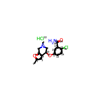 Cc1cc2c(o1)CN(C)CC2Oc1ccc(Cl)c(C(N)=O)c1.Cl